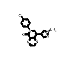 Cn1cc(-c2cn(-c3ccc(Cl)cc3)c(=O)c3nccnc23)cn1